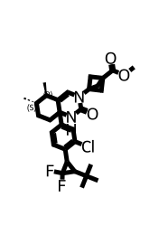 COC(=O)C12CC(N3C=C4[C@H](C)[C@@H](C)CCC4(c4ccc(C5C(C(C)(C)C)C5(F)F)c(Cl)c4)NC3=O)(C1)C2